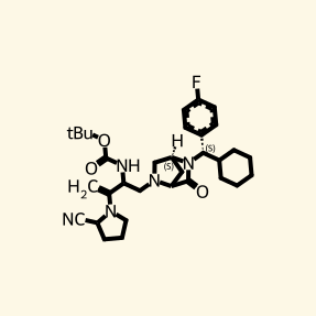 C=C(C(CN1C[C@@H]2CC1C(=O)N2[C@H](c1ccc(F)cc1)C1CCCCC1)NC(=O)OC(C)(C)C)N1CCCC1C#N